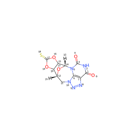 O=c1[nH]c(=O)n2c3c1nnn3C[C@H]1O[C@@H]2C2OC(=S)OC21